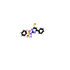 CSc1cc(-c2ccccc2)nc(NS(=O)(=O)c2ccccc2)n1